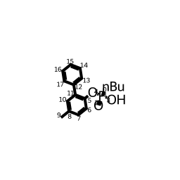 CCCCP(=O)(O)Oc1ccc(C)cc1-c1ccccc1